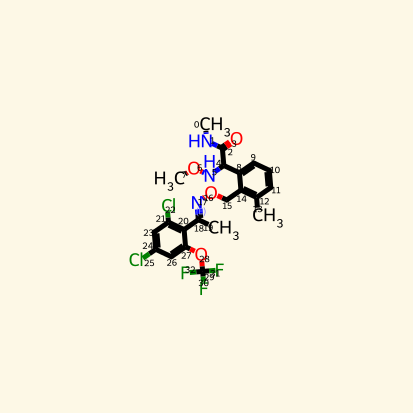 CNC(=O)C(NOC)c1cccc(C)c1CO/N=C(\C)c1c(Cl)cc(Cl)cc1OC(F)(F)F